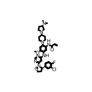 C=CC(=O)Nc1cc(Nc2cc(N3OCC[C@@H]3c3ccc(F)c(Cl)c3)ncn2)c(OC)cc1N1CCC(N2CC[C@H](N(C)C)C2)CC1